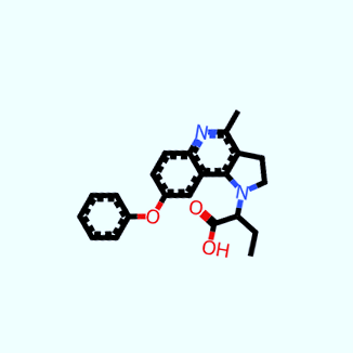 CCC(C(=O)O)N1CCc2c(C)nc3ccc(Oc4ccccc4)cc3c21